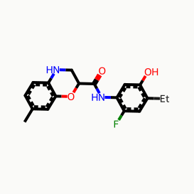 CCc1cc(F)c(NC(=O)C2CNc3ccc(C)cc3O2)cc1O